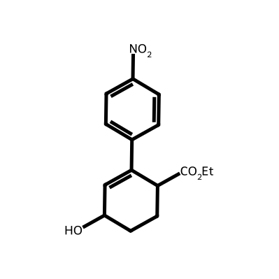 CCOC(=O)C1CCC(O)C=C1c1ccc([N+](=O)[O-])cc1